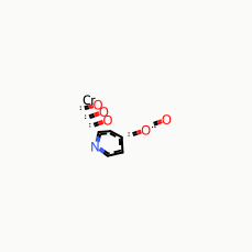 [C]=O.[C]=O.[C]=O.[C]=O.[C]=O.[Cr].c1ccncc1